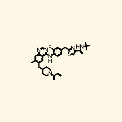 C=CC(=C)N1CCC(Cc2cc3c(Nc4ccc(Cc5nc(C(=C)NC(C)(C)C)cs5)cc4F)ncnc3cc2C)CC1